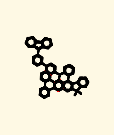 CC1(C)c2ccccc2-c2c(-c3ccccc3N(c3ccc(-c4cccc(-n5c6ccccc6c6ccccc65)c4)cc3)c3ccccc3-c3ccccc3-c3ccccc3-c3ccccc3)cccc21